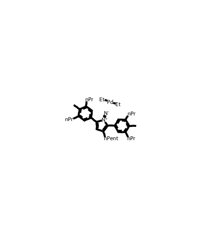 CCCCCC1=C(c2cc(CCC)c(C)c(CCC)c2)[N+](=[N-])C(c2cc(CCC)c(C)c(CCC)c2)=C1.C[CH2][Pd][CH2]C